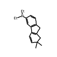 CCN(CC)c1ccc2c(c1)C1=C(C2)CC(C)(C)C=C1